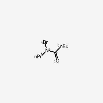 CCCCC(=O)N(Br)CCC